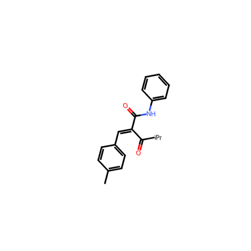 Cc1ccc(C=C(C(=O)Nc2ccccc2)C(=O)C(C)C)cc1